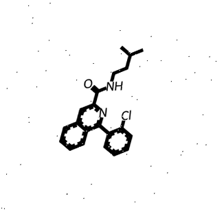 CC(C)CCNC(=O)c1cc2ccccc2c(-c2ccccc2Cl)n1